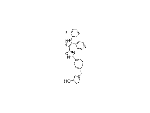 OC1CCN(CC2=CCC(c3noc(-c4nnn(-c5ccccc5F)c4-c4ccncc4)n3)=CC=C2)C1